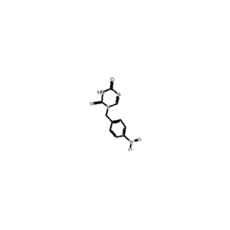 O=c1ncn(Cc2ccc([N+](=O)[O-])cc2)c(=O)[nH]1